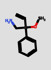 C=C[Si](CN)(O[SiH3])c1ccccc1